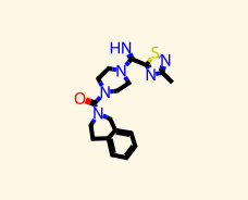 Cc1nsc(C(=N)N2CCN(C(=O)N3CCc4ccccc4C3)CC2)n1